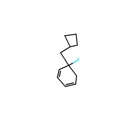 FC1(CC2CCC2)C=CC=CC1